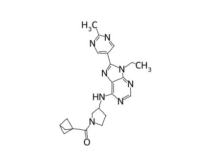 CCn1c(-c2cnc(C)nc2)nc2c(NC3CCN(C(=O)C45CC(C4)C5)C3)ncnc21